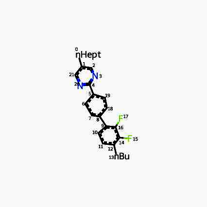 CCCCCCCc1cnc(-c2ccc(-c3ccc(CCCC)c(F)c3F)cc2)nc1